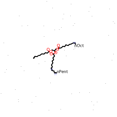 C=CCCCCCCCC(=O)OCC(COC(=O)CCCCCCC/C=C\CCCCCCCC)OC(=O)CCCCCCC/C=C\C/C=C\CCCCC